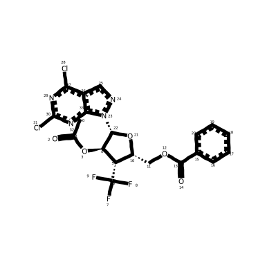 CC(=O)O[C@@H]1[C@@H](C(F)(F)F)[C@@H](COC(=O)c2ccccc2)O[C@H]1n1ncc2c(Cl)nc(Cl)nc21